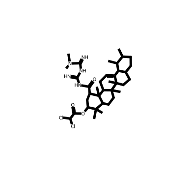 CC1CCC2CCC3(C)C(=CCC4C5(C)C(C(=O)NC(=N)NC(=N)N(C)C)CC(OC(=O)C(Cl)Cl)C(C)(C)C5CCC43C)C2C1C